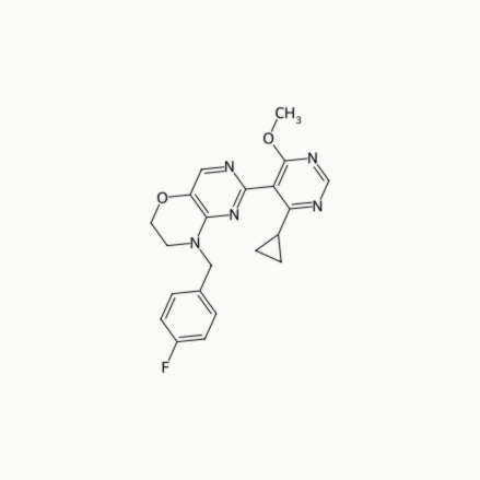 COc1ncnc(C2CC2)c1-c1ncc2c(n1)N(Cc1ccc(F)cc1)CCO2